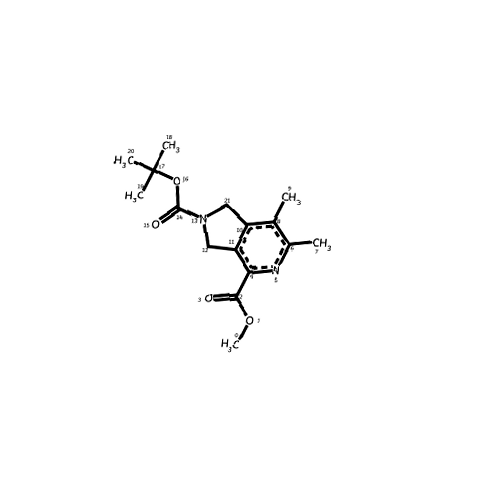 COC(=O)c1nc(C)c(C)c2c1CN(C(=O)OC(C)(C)C)C2